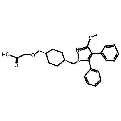 CSc1nn(C[C@H]2CC[C@H](COCC(=O)O)CC2)c(-c2ccccc2)c1-c1ccccc1